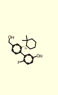 CC1(C)CCCC[C@@H]1c1cc(CO)ccc1-c1cc(O)ccc1F